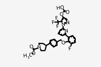 COC(=O)N1CCC(c2ccc(COc3c(F)cccc3-c3cccc(-n4ncc(OC(=O)O)c4C(F)(F)F)n3)cc2)CC1